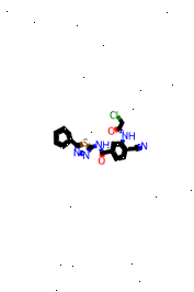 N#Cc1ccc(C(=O)Nc2nnc(-c3ccccc3)s2)cc1NC(=O)CCl